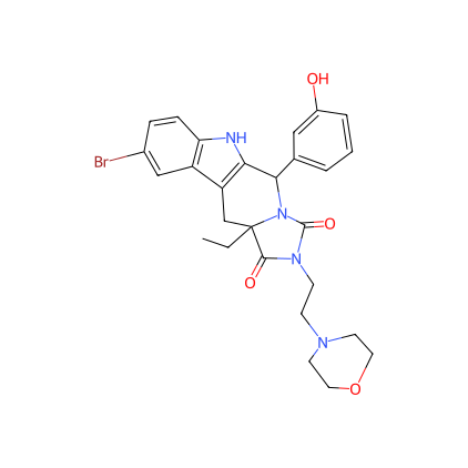 CCC12Cc3c([nH]c4ccc(Br)cc34)C(c3cccc(O)c3)N1C(=O)N(CCN1CCOCC1)C2=O